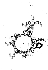 CC(C)C[C@@H]1NC(=O)[C@@H](Cc2ccccc2)NC(=O)[C@H](CCN)NC(=O)[C@@H](NC(=O)[C@H](CN)NC(=O)C[C@@H](C)O)CCNC(=O)[C@H]([C@@H](C)O)NC(=O)[C@H](CCN)NC(=O)[C@H](CCN)NC1=O